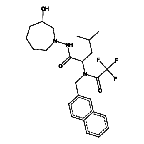 CC(C)CC(C(=O)NN1CCCC[C@H](O)C1)N(Cc1ccc2ccccc2c1)C(=O)C(F)(F)F